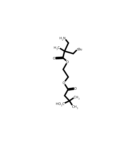 CC(C)(C)CC(C)(CN)C(=O)OCCOC(=O)CC(C)(C)C(=O)O